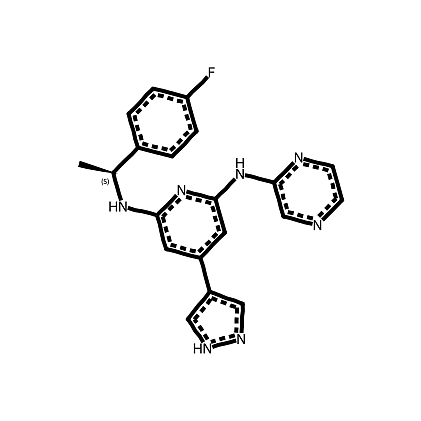 C[C@H](Nc1cc(-c2cn[nH]c2)cc(Nc2cnccn2)n1)c1ccc(F)cc1